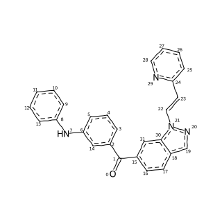 O=C(c1cccc(Nc2ccccc2)c1)c1ccc2cnn(C=Cc3ccccn3)c2c1